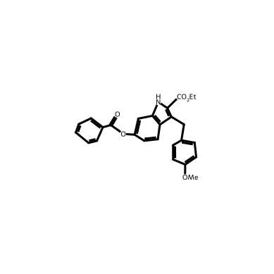 CCOC(=O)c1[nH]c2cc(OC(=O)c3ccccc3)ccc2c1Cc1ccc(OC)cc1